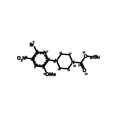 COc1cc([N+](=O)[O-])c(Br)nc1N1CCN(C(=O)OC(C)(C)C)CC1